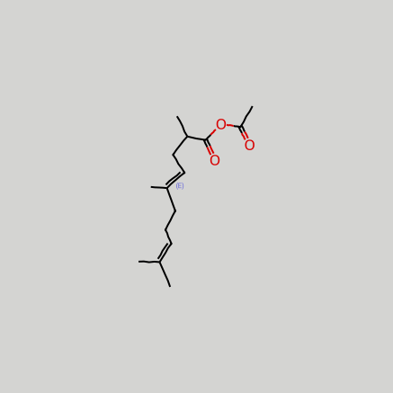 CC(=O)OC(=O)C(C)C/C=C(\C)CCC=C(C)C